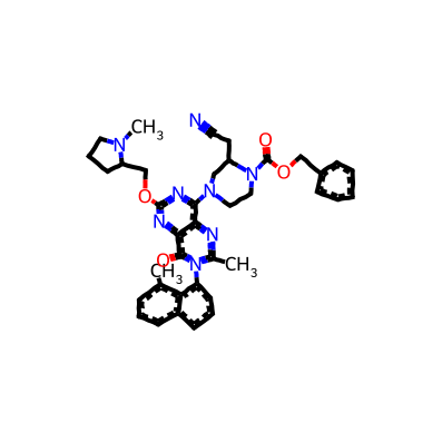 Cc1cccc2cccc(-n3c(C)nc4c(N5CCN(C(=O)OCc6ccccc6)C(CC#N)C5)nc(OCC5CCCN5C)nc4c3=O)c12